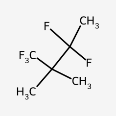 CC(F)(F)C(C)(C)C(F)(F)F